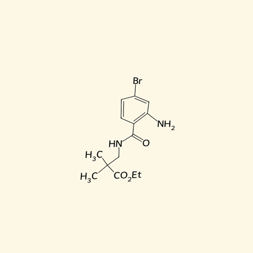 CCOC(=O)C(C)(C)CNC(=O)c1ccc(Br)cc1N